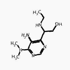 CCNC(CO)c1ncnc(N(C)C)c1N